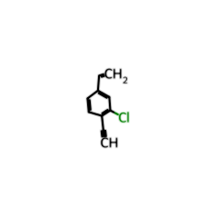 C#Cc1ccc(C=C)cc1Cl